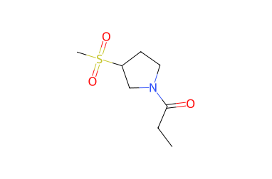 CCC(=O)N1CCC(S(C)(=O)=O)C1